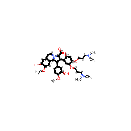 COc1ccc(-c2c3c4cc(OCCCN(C)C)c(OCCCN(C)C)cc4oc(=O)c3n3ccc4cc(O)c(OC)cc4c23)cc1O